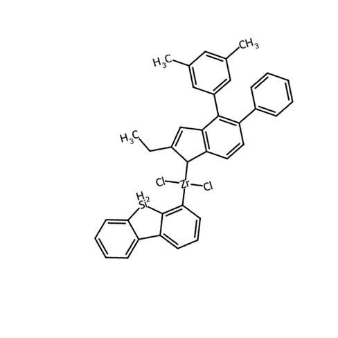 CCC1=Cc2c(ccc(-c3ccccc3)c2-c2cc(C)cc(C)c2)[CH]1[Zr]([Cl])([Cl])[c]1cccc2c1[SiH2]c1ccccc1-2